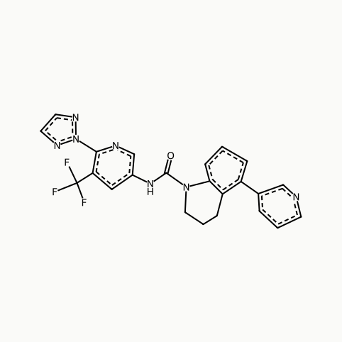 O=C(Nc1cnc(-n2nccn2)c(C(F)(F)F)c1)N1CCCc2c(-c3cccnc3)cccc21